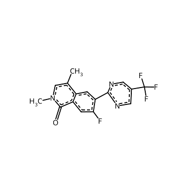 Cc1cn(C)c(=O)c2cc(F)c(-c3ncc(C(F)(F)F)cn3)cc12